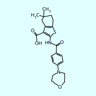 CC1(C)CCc2sc(NC(=O)c3ccc(N4CCOCC4)cc3)c(C(=O)O)c2C1